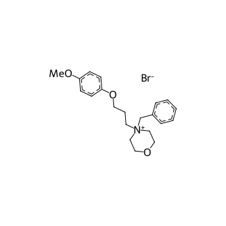 COc1ccc(OCCC[N+]2(Cc3ccccc3)CCOCC2)cc1.[Br-]